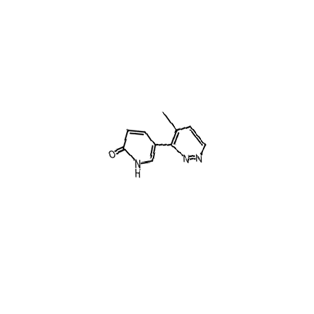 Cc1ccnnc1-c1ccc(=O)[nH]c1